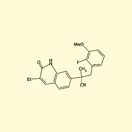 CCc1cc2ccc(C(C)(C#N)Cc3cccc(OC)c3F)cc2[nH]c1=O